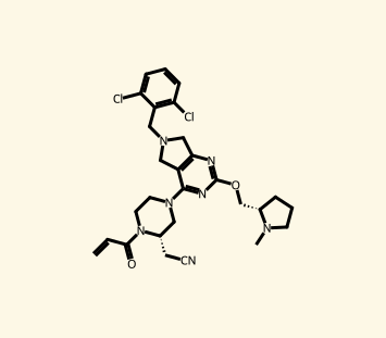 C=CC(=O)N1CCN(c2nc(OC[C@@H]3CCCN3C)nc3c2CN(Cc2c(Cl)cccc2Cl)C3)C[C@@H]1CC#N